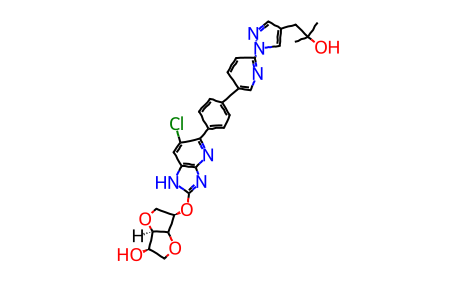 CC(C)(O)Cc1cnn(-c2ccc(-c3ccc(-c4nc5nc(O[C@@H]6CO[C@H]7C6OC[C@H]7O)[nH]c5cc4Cl)cc3)cn2)c1